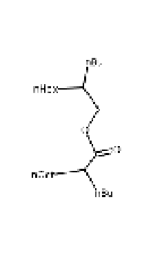 CCCCCCCCC(CCCC)C(=O)OCC(CCCC)CCCCCC